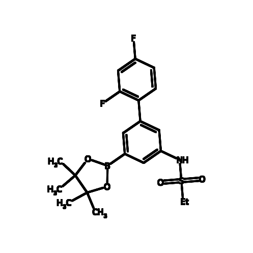 CCS(=O)(=O)Nc1cc(B2OC(C)(C)C(C)(C)O2)cc(-c2ccc(F)cc2F)c1